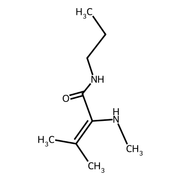 CCCNC(=O)C(NC)=C(C)C